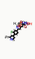 CC(C)c1cc(-c2ccc(C3=NOC(CC(C)(C(=O)NO)S(C)(=O)=O)C3)cc2F)ccn1